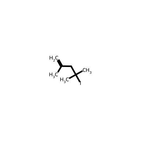 C=C(C)CC(C)(C)I